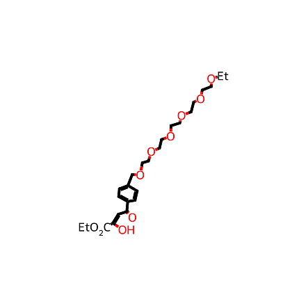 CCOCCOCCOCCOCCOCCOCc1ccc(C(=O)/C=C(\O)C(=O)OCC)cc1